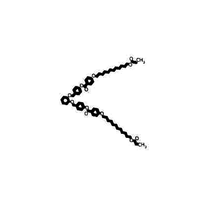 C=CC(=O)OCCCCCCCCCCCCOc1ccc(C(=O)Oc2ccc(CO[C@@H]3CCCC[C@H]3OCc3ccc(OC(=O)c4ccc(OCCCCCCCCCCCCOC(=O)C=C)cc4)cc3)cc2)cc1